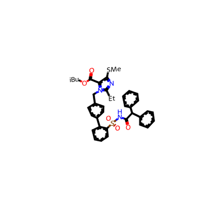 CCc1nc(SC)c(C(=O)OC(C)CC)n1Cc1ccc(-c2ccccc2S(=O)(=O)NC(=O)C(c2ccccc2)c2ccccc2)cc1